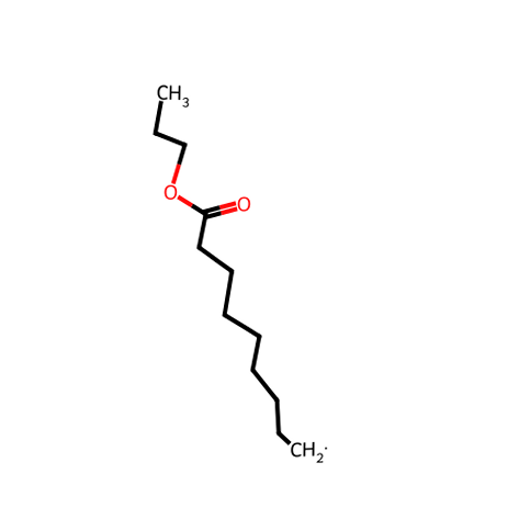 [CH2]CCCCCCCC(=O)OCCC